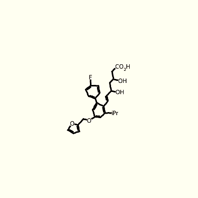 CC(C)c1cc(OCc2ccco2)cc(-c2ccc(F)cc2)c1/C=C/C(O)CC(O)CC(=O)O